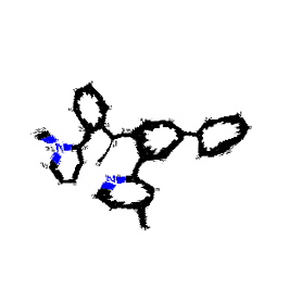 Cc1ccnc(-c2cc(-c3ccccc3)ccc2[C@@H](C)c2ccccc2C2C=CC=CN2C)c1